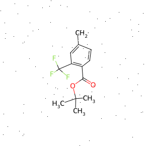 [CH2]c1ccc(C(=O)OC(C)(C)C)c(C(F)(F)F)c1